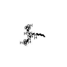 CCCCCCNCc1nc(NCCS(=O)(=O)O)nc(NCCS(=O)(=O)O)n1